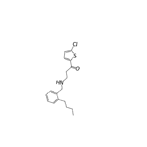 CCCCc1ccccc1CNCCC(=O)c1ccc(Cl)s1